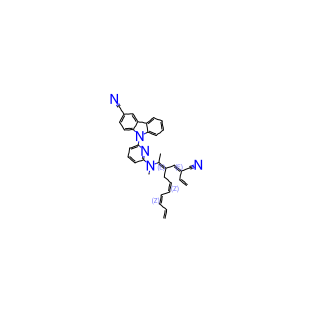 C=C/C=C\C=C/CC(/C=C(/C#N)C=C)=C(/C)N(C)c1cccc(-n2c3ccccc3c3cc(C#N)ccc32)n1